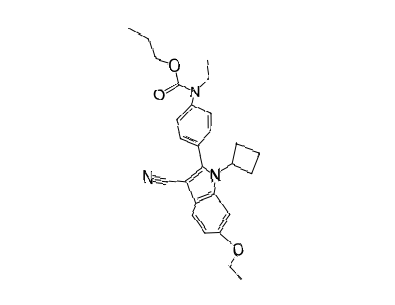 CCCOC(=O)N(CC)c1ccc(-c2c(C#N)c3ccc(OCC)cc3n2C2CCC2)cc1